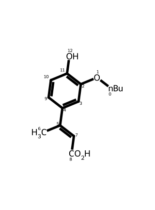 CCCCOc1cc(C(C)=CC(=O)O)ccc1O